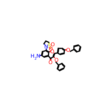 Nc1cc(N2CCCS2(=O)=O)c2oc(-c3ccc(OCc4ccccc4)cc3)c(OCc3ccccc3)c(=O)c2c1